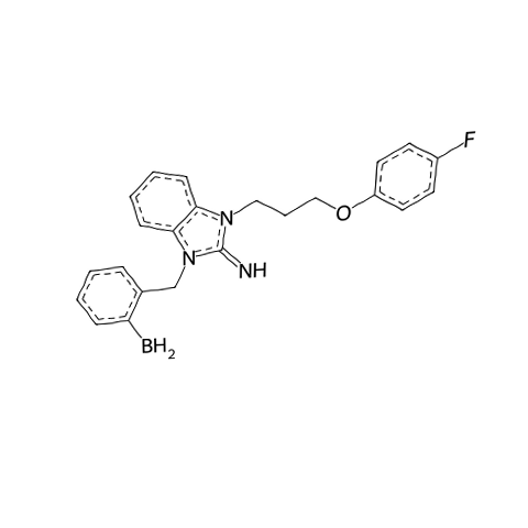 Bc1ccccc1Cn1c(=N)n(CCCOc2ccc(F)cc2)c2ccccc21